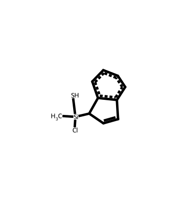 C[Si](S)(Cl)C1C=Cc2ccccc21